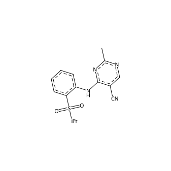 Cc1ncc(C#N)c(Nc2ccccc2S(=O)(=O)C(C)C)n1